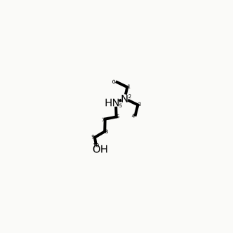 CCN(CC)NCCCCO